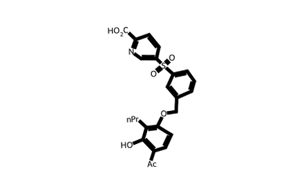 CCCc1c(OCc2cccc(S(=O)(=O)c3ccc(C(=O)O)nc3)c2)ccc(C(C)=O)c1O